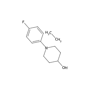 CC.OC1CCN(c2ccc(F)cc2)CC1